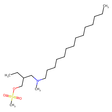 CCCCCCCCCCCCCCN(C)CC(CC)COS(C)(=O)=O